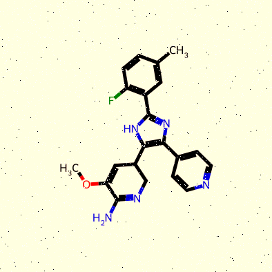 COC1=CC(c2[nH]c(-c3cc(C)ccc3F)nc2-c2ccncc2)CN=C1N